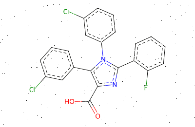 O=C(O)c1nc(-c2ccccc2F)n(-c2cccc(Cl)c2)c1-c1cccc(Cl)c1